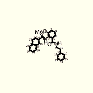 COc1cccc(C(=O)NCCc2ccccc2)c1NC(=O)c1ccc2ccccc2c1